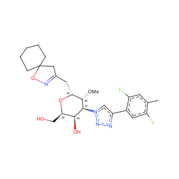 CO[C@@H]1[C@@H](n2cc(-c3cc(F)c(C)cc3F)nn2)[C@@H](O)[C@@H](CO)O[C@@H]1CC1=NOC2(CCCCC2)C1